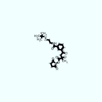 CC(C)(C)SSCCNC(=O)c1cccc(C(Cl)CC(C)(Cl)C(=O)ON2C(=O)CCC2=O)c1